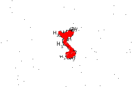 C=CC(=O)N1CCN(c2nc(NCCC(=O)N(C)CCOCCOCCOc3cccc(C(=O)c4csc([C@@H]5CCCN5C(=O)[C@@H](NC(=O)[C@H](C)N(C)C(=O)O)C5CCCCC5)n4)c3)nc3c(F)c(/C(=C/CO)c4ccccc4C)c(Cl)cc23)CC1